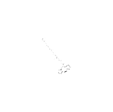 O=C(CCCCC(=O)N1Cc2ccccc2C#Cc2ccccc21)NCCOCCOCCOCCO